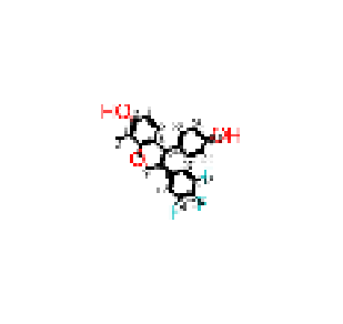 Cc1c(O)ccc2c1OCC(c1cc(F)c(F)c(F)c1)C2c1ccc(O)cc1